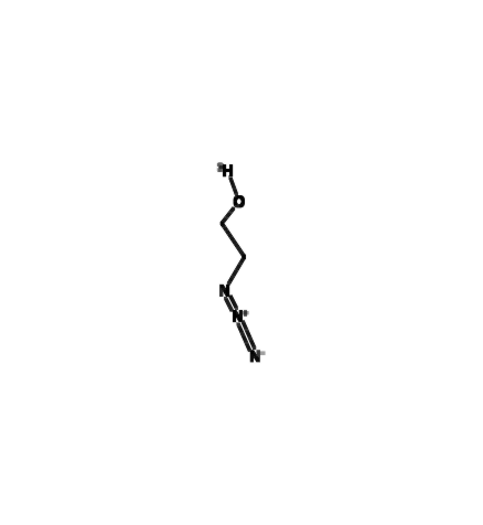 [3H]OCCN=[N+]=[N-]